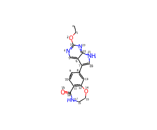 CCOc1ncc2c(-c3ccc4c(c3)OCCNC4=O)c[nH]c2n1